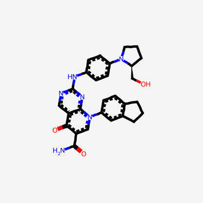 NC(=O)c1cn(-c2ccc3c(c2)CCC3)c2nc(Nc3ccc(N4CCC[C@H]4CO)cc3)ncc2c1=O